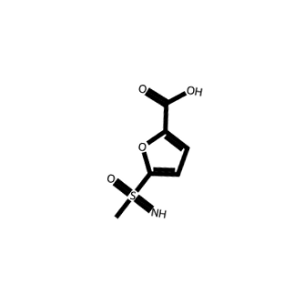 CS(=N)(=O)c1ccc(C(=O)O)o1